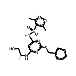 Cc1noc(C)c1S(=O)(=O)Nc1cc(N[C@H](C)CO)nc(SCc2ccccc2)n1